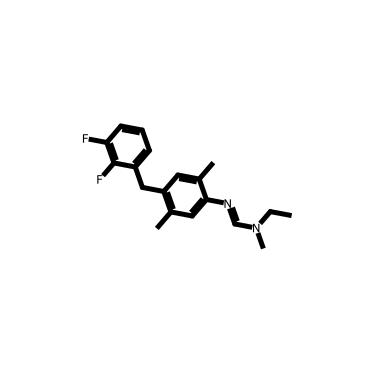 CCN(C)C=Nc1cc(C)c(Cc2cccc(F)c2F)cc1C